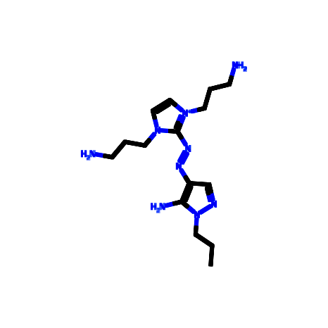 CCCn1ncc(/N=N/c2n(CCCN)cc[n+]2CCCN)c1N